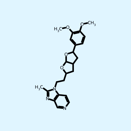 COc1ccc(C2CC3CC(CCn4c(C)nc5cnccc54)OC3O2)cc1OC